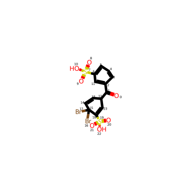 O=C(c1cccc(S(=O)(=O)O)c1)C1C=CC(Br)(Br)C(S(=O)(=O)O)=C1